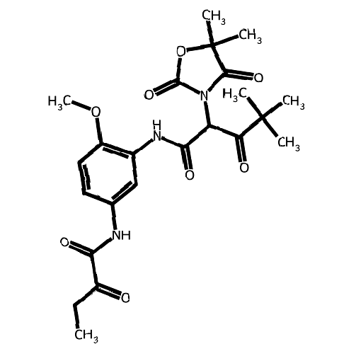 CCC(=O)C(=O)Nc1ccc(OC)c(NC(=O)C(C(=O)C(C)(C)C)N2C(=O)OC(C)(C)C2=O)c1